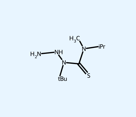 CC(C)N(C)C(=S)N(NN)C(C)(C)C